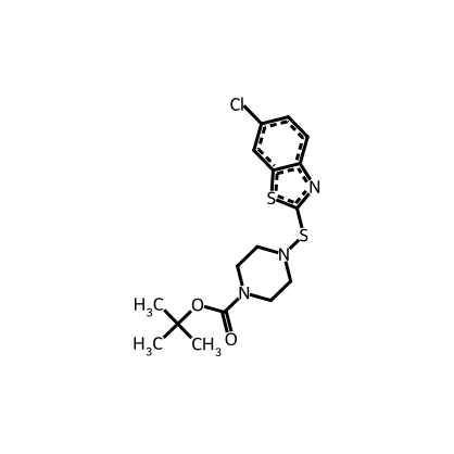 CC(C)(C)OC(=O)N1CCN(Sc2nc3ccc(Cl)cc3s2)CC1